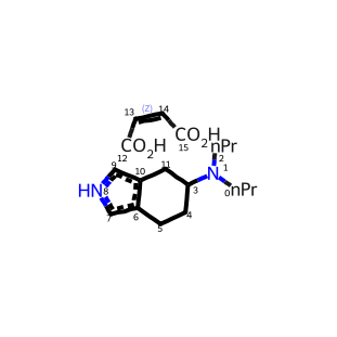 CCCN(CCC)C1CCc2c[nH]cc2C1.O=C(O)/C=C\C(=O)O